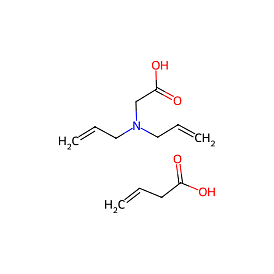 C=CCC(=O)O.C=CCN(CC=C)CC(=O)O